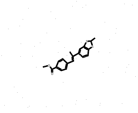 COC(=O)c1ccc(C=C(C)c2ccc3c(c2)SC(C)S3)cc1